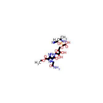 CCOC(=O)c1nn(CC(N)=O)c2c(=O)n(C3OC(COC(C(=O)O)P(NC(C)C)OCC#N)C(O)C3O)nnc12